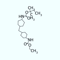 CCOC(=O)NC1CCC(CC2CCC(NC(=O)OC(C)(C)CC)CC2)CC1